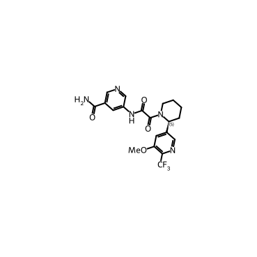 COc1cc([C@@H]2CCCCN2C(=O)C(=O)Nc2cncc(C(N)=O)c2)cnc1C(F)(F)F